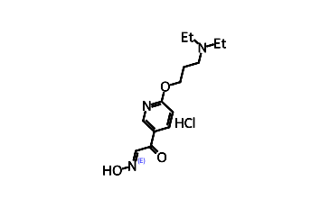 CCN(CC)CCCOc1ccc(C(=O)/C=N/O)cn1.Cl